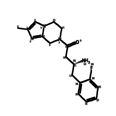 Cc1cn2c(n1)CN(C(=O)C[C@H](N)Cc1ccccc1F)CC2